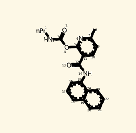 CCCNC(=O)Oc1nc(C)ccc1C(=O)Nc1cccc2ccccc12